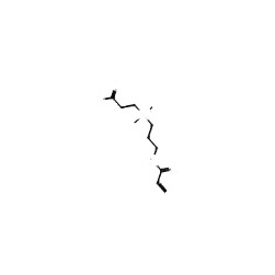 C=CC(=O)NCCC[N+](C)(C)CCC(=O)[O-]